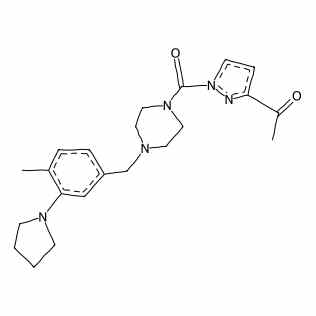 CC(=O)c1ccn(C(=O)N2CCN(Cc3ccc(C)c(N4CCCC4)c3)CC2)n1